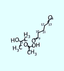 CC(=O)O.CC(C)O.O=CCCCC=O